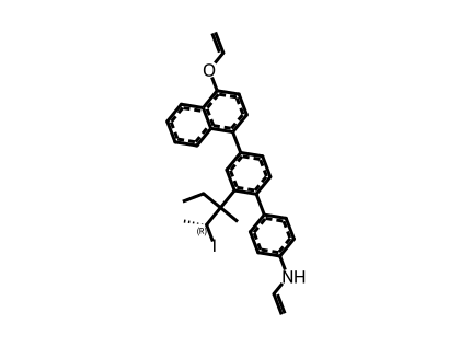 C=CNc1ccc(-c2ccc(-c3ccc(OC=C)c4ccccc34)cc2C(C)(CC)[C@@H](C)I)cc1